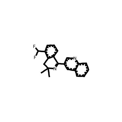 CC1(C)Cc2c(cccc2C(F)F)C(c2cnc3ccccc3c2)=N1